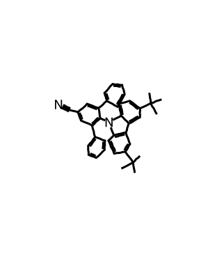 CC(C)(C)c1ccc2c(c1)c1cc(C(C)(C)C)ccc1n2-c1c(-c2ccccc2)cc(C#N)cc1-c1ccccc1